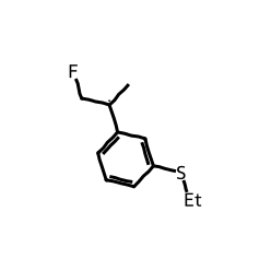 CCSc1cccc([C](C)CF)c1